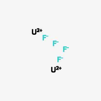 [F-].[F-].[F-].[F-].[U+2].[U+2]